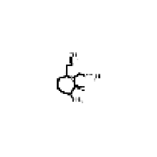 C=CCC1CCCC(N)C(=O)N1CC(=O)O